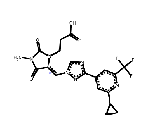 CN1C(=O)/C(=C/n2cnc(-c3cc(C4CC4)nc(C(F)(F)F)c3)n2)N(CCC(=O)O)C1=O